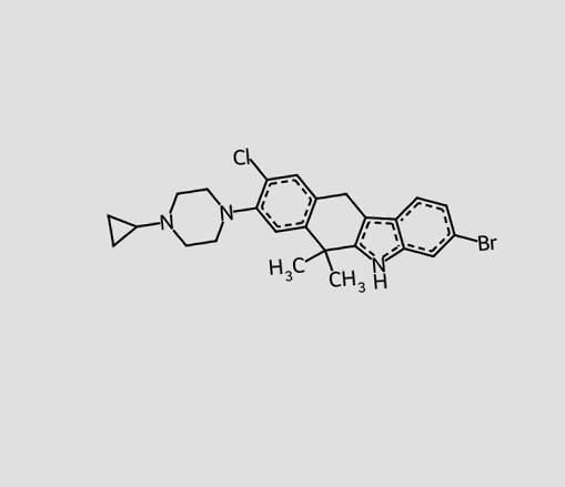 CC1(C)c2cc(N3CCN(C4CC4)CC3)c(Cl)cc2Cc2c1[nH]c1cc(Br)ccc21